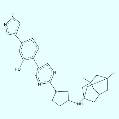 CC12CC3CC(C)(C1)CC(NC1CCN(c4ncc(-c5ccc(-c6cn[nH]c6)cc5O)nn4)C1)(C3)C2